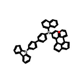 c1ccc(-c2cccc3cccc(-c4cccc(N(c5ccc(-c6ccc(-n7c8ccccc8c8ccccc87)cc6)cc5)c5cccc6ccccc56)c4)c23)cc1